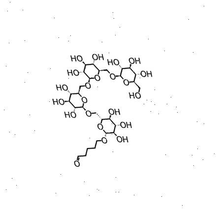 O=CCCCCO[C@@H]1O[C@H](CO[C@@H]2O[C@H](CO[C@@H]3O[C@H](CO[C@@H]4O[C@H](CO)[C@@H](O)[C@H](O)[C@H]4O)[C@@H](O)[C@H](O)[C@H]3O)[C@@H](O)[C@H](O)[C@H]2O)[C@@H](O)[C@H](O)[C@H]1O